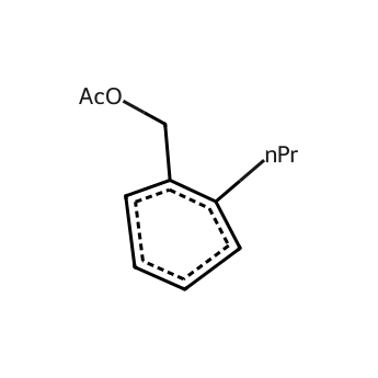 CCCc1ccccc1COC(C)=O